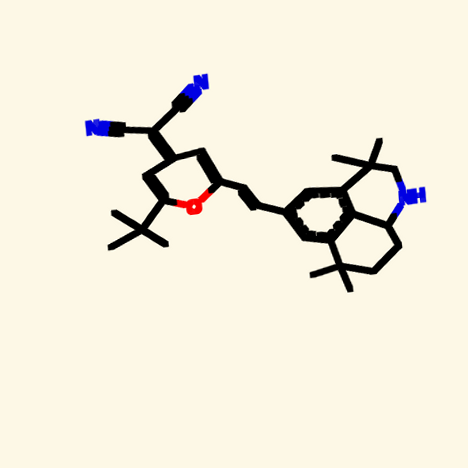 CC(C)(C)C1=CC(=C(C#N)C#N)C=C(/C=C/c2cc3c4c(c2)C(C)(C)CNC4CCC3(C)C)O1